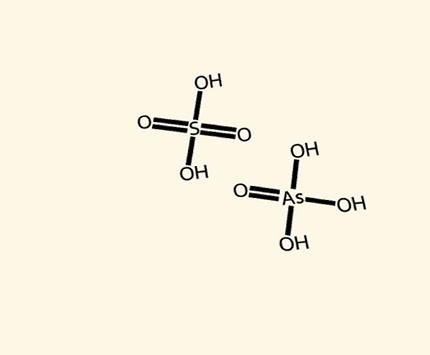 O=S(=O)(O)O.O=[As](O)(O)O